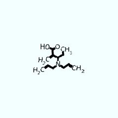 C=CCN(CC=C)C(CC)C(=C)C(=O)O